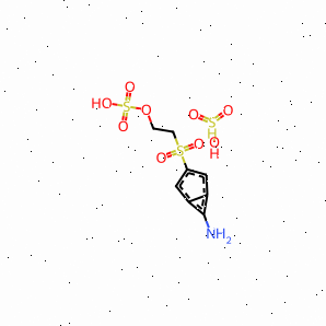 Nc1c2cc(S(=O)(=O)CCOS(=O)(=O)O)cc1-2.O=[SH](=O)O